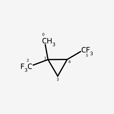 CC1(C(F)(F)F)CC1C(F)(F)F